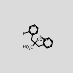 CCOC(=O)C(Cc1ccccc1F)(Cc1ccccc1F)C(=O)O